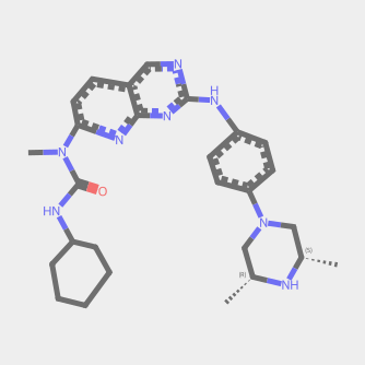 C[C@@H]1CN(c2ccc(Nc3ncc4ccc(N(C)C(=O)NC5CCCCC5)nc4n3)cc2)C[C@H](C)N1